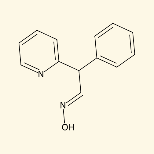 O/N=C/C(c1ccccc1)c1ccccn1